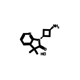 CC1(C)C(=O)N([C@H]2C[C@H](N)C2)c2ncccc21.Cl